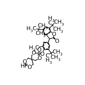 Cc1cc(C2C(=O)Oc3c2cc(C(C)(C)C)cc3C(C)(C)C)cc(C(C)(C)C)c1OP1(=O)OCC2(COPOC2)CO1